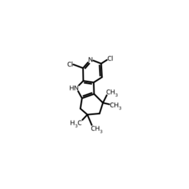 CC1(C)Cc2[nH]c3c(Cl)nc(Cl)cc3c2C(C)(C)C1